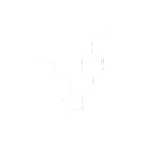 CCOCc1nn[nH]c1Sc1ccc(OC)cc1